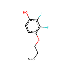 COCCOc1ccc(O)c(F)c1F